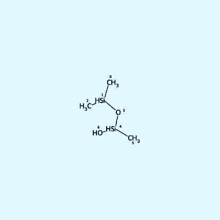 C[SiH](C)O[SiH](C)O